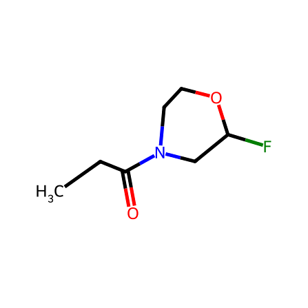 CCC(=O)N1CCOC(F)C1